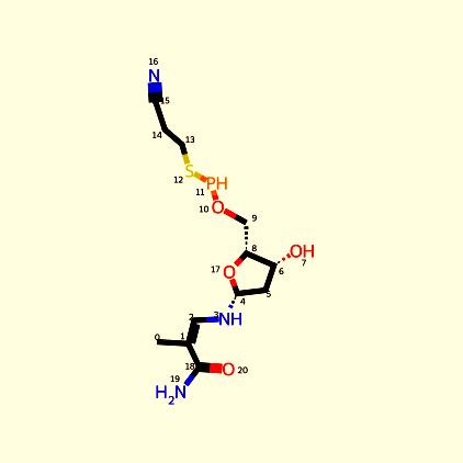 C/C(=C/N[C@H]1C[C@@H](O)[C@@H](COPSCCC#N)O1)C(N)=O